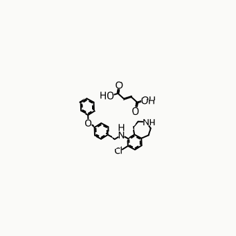 Clc1ccc2c(c1NCc1ccc(Oc3ccccc3)cc1)CCNCC2.O=C(O)CCC(=O)O